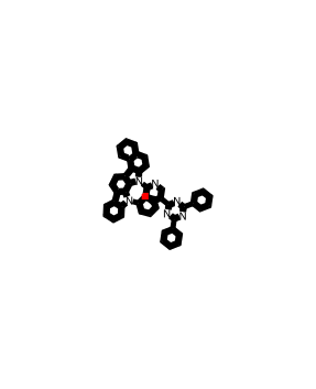 c1ccc(-c2nc(-c3ccccc3)nc(-c3ccc(-n4c5ccc6ccccc6c5c5ccc6c7ccccc7n(-c7ccccc7)c6c54)nc3)n2)cc1